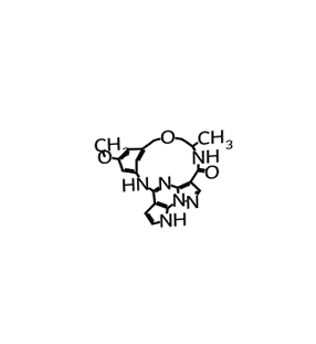 COc1cc2cc(c1)Nc1nc3c(cnn3c3[nH]ccc13)C(=O)NC(C)COC2